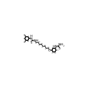 Cc1cc(C)cc(NC(=S)NCCCCCCCCOc2cccc(NC(N)=S)c2)c1